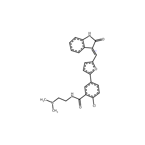 CN(C)CCNC(=O)c1cc(-c2ccc(/C=C3/C(=O)Nc4ccccc43)o2)ccc1Cl